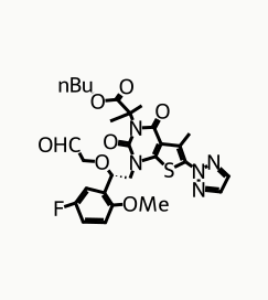 CCCCOC(=O)C(C)(C)n1c(=O)c2c(C)c(-n3nccn3)sc2n(C[C@@H](OCC=O)c2cc(F)ccc2OC)c1=O